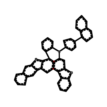 c1ccc(N(c2ccc(-c3cccc4ccccc34)cc2)c2ccc3c(c2)oc2ccccc23)c(-c2cccc3c2oc2cc4ccccc4cc23)c1